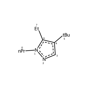 CCCn1ncc(C(C)(C)C)c1CC